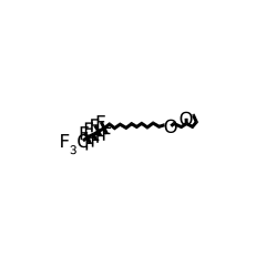 FC(F)(F)C(F)(F)C(F)(F)C(F)(F)C(F)(F)CCCCCCCCCCCOCCC1CCCO1